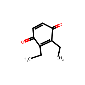 CCC1=C(CC)C(=O)C=CC1=O